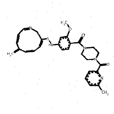 C=C1/C=C\C=N/C/C(SNc2ccc(C(=O)N3CCN(C(=O)c4cccc(C)n4)CC3)c(OC)c2)=C\C=C/1